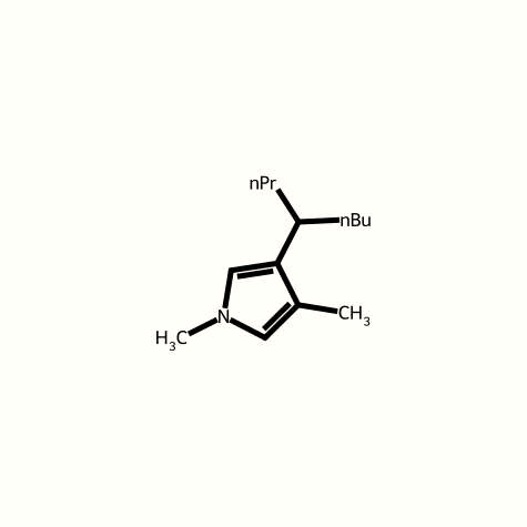 CCCCC(CCC)c1cn(C)cc1C